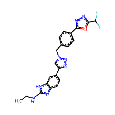 CCNc1nc2ccc(-c3cn(Cc4ccc(-c5nnc(C(F)F)o5)cc4)nn3)cc2[nH]1